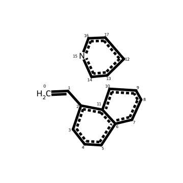 C=Cc1cccc2ccccc12.c1ccncc1